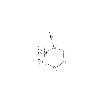 CCN1CCOCC1.O=S(=O)(O)O